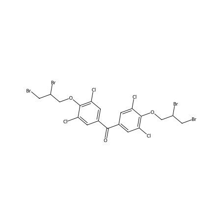 O=C(c1cc(Cl)c(OCC(Br)CBr)c(Cl)c1)c1cc(Cl)c(OCC(Br)CBr)c(Cl)c1